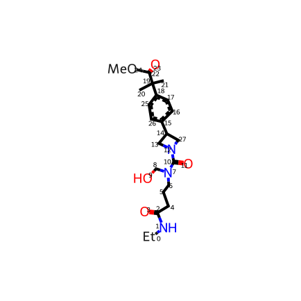 CCNC(=O)CCCN(CO)C(=O)N1CC(c2ccc(C(C)(C)C(=O)OC)cc2)C1